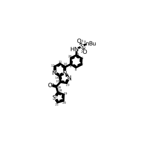 CCCCS(=O)(=O)Nc1cccc(-c2ccnc3c(C(=O)c4cccs4)cnn23)c1